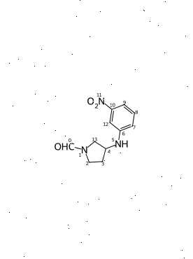 O=CN1CCC(Nc2cccc([N+](=O)[O-])c2)C1